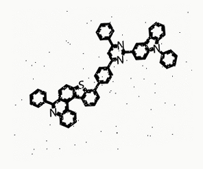 c1ccc(-c2cc(-c3ccc(-c4cccc5c4sc4ccc6c(-c7ccccc7)nc7ccccc7c6c45)cc3)nc(-c3ccc4c(c3)c3ccccc3n4-c3ccccc3)n2)cc1